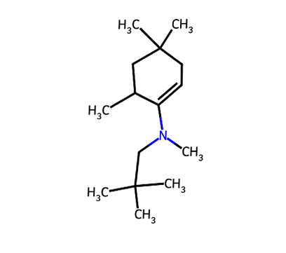 CC1CC(C)(C)CC=C1N(C)CC(C)(C)C